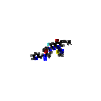 CCCN(CC(C)C(=O)NCCc1ccccn1)c1nc2c(cc1F)c(=O)c(C(=O)O)cn2-c1nccs1